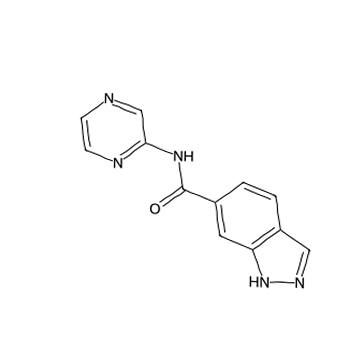 O=C(Nc1cnccn1)c1ccc2cn[nH]c2c1